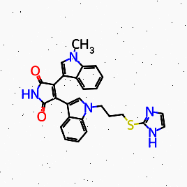 Cn1cc(C2=C(c3cn(CCCSc4ncc[nH]4)c4ccccc34)C(=O)NC2=O)c2ccccc21